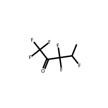 CC(F)C(F)(F)C(=O)C(F)(F)F